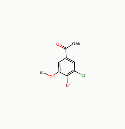 CCOc1cc(C(=O)OC)cc(Cl)c1Br